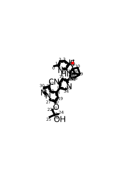 Cc1ccc(F)c(N[C@H]2C3C[C@H]2CN(c2ccc(-c4cc(OCC(C)(C)O)cn5ncc(C#N)c45)cn2)C3)n1